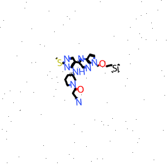 CSc1ncc(-c2cnc3c(ccn3COCC[Si](C)(C)C)n2)c(N[C@H]2CCCN(C(=O)CC#N)C2)n1